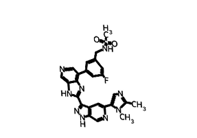 Cc1ncc(-c2cc3c(-c4nc5c(-c6cc(F)cc(CNS(C)(=O)=O)c6)cncc5[nH]4)n[nH]c3cn2)n1C